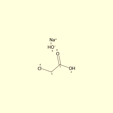 O=C(O)CCl.[Na+].[OH-]